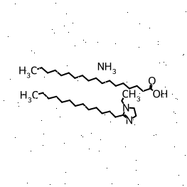 CCCCCCCCCCCCCC1=NCCN1CC.CCCCCCCCCCCCCCCCCC(=O)O.N